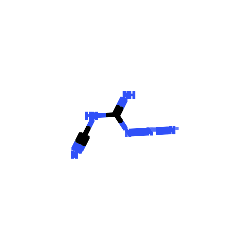 N#CNC(=N)N=[N+]=[N-]